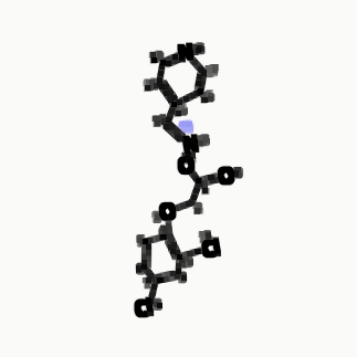 O=C(COc1ccc(Cl)cc1Cl)O/N=C/c1ccncc1